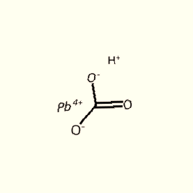 O=C([O-])[O-].[H+].[Pb+4]